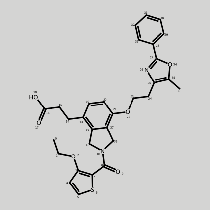 CCOc1ccsc1C(=O)N1Cc2c(CCC(=O)O)ccc(OCCc3nc(-c4ccccc4)oc3C)c2C1